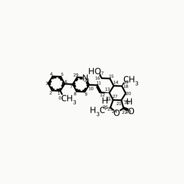 Cc1ccccc1-c1ccc(/C=C/[C@H]2C(CCO)[C@@H](C)C[C@H]3C(=O)O[C@H](C)[C@H]32)nc1